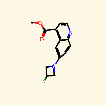 COC(=O)c1ccnc2ccc(N3CC(F)C3)cc12